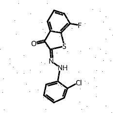 O=C1/C(=N/Nc2ccccc2Cl)Sc2c(F)cccc21